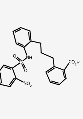 O=C(O)c1ccccc1CCCc1ccccc1NS(=O)(=O)c1ccccc1[N+](=O)[O-]